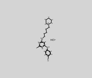 Cc1nc(OCCCCCN2CCCCC2)cc(Sc2ccc(F)cc2)n1.Cl